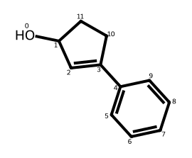 OC1C=C(c2ccccc2)CC1